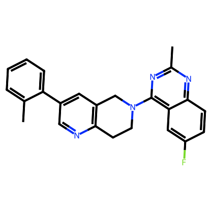 Cc1nc(N2CCc3ncc(-c4ccccc4C)cc3C2)c2cc(F)ccc2n1